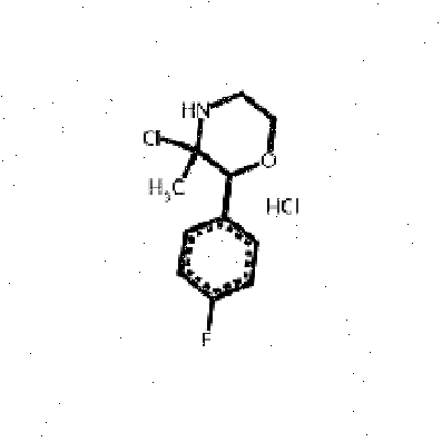 CC1(Cl)NCCOC1c1ccc(F)cc1.Cl